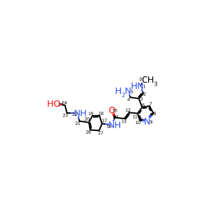 CN/C=C(\CN)c1ccncc1/C=C/C(=O)NC1C=CC(CNCCO)=CC1